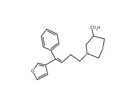 O=C(O)C1CCCN(CC/C=C(\c2ccccc2)c2ccoc2)C1